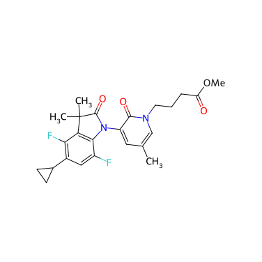 COC(=O)CCCn1cc(C)cc(N2C(=O)C(C)(C)c3c(F)c(C4CC4)cc(F)c32)c1=O